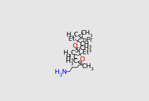 CCC[Si](C)(C)C(C)(CC)O[Si](C)(C)C(C)(CC)O[Si](C)(C)CCCN